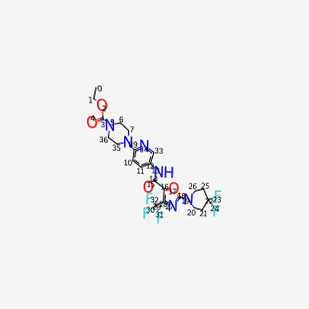 CCOC(=O)N1CCN(c2ccc(NC(=O)c3oc(N4CCC(F)(F)CC4)nc3C(F)(F)F)cn2)CC1